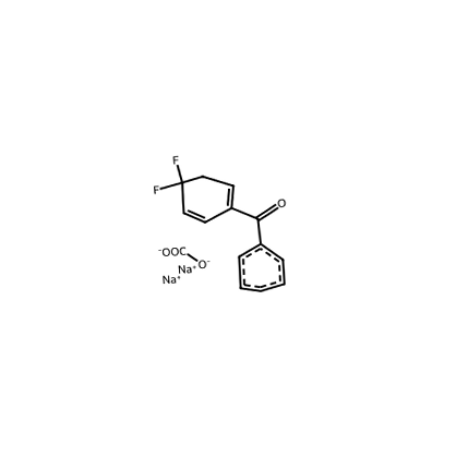 O=C(C1=CCC(F)(F)C=C1)c1ccccc1.O=C([O-])[O-].[Na+].[Na+]